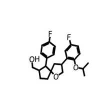 CC(C)Oc1ccc(F)cc1C1COC2(CCC(CO)C2c2ccc(F)cc2)C1